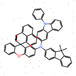 CC1(C)c2ccccc2-c2ccc(N(c3ccc4c(c3)C3(c5ccccc5O4)c4ccccc4-c4cccc5cccc3c45)c3ccc4c(c3)c3ccccc3n4-c3ccccc3)cc21